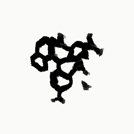 O=[N+]([O-])c1ccc(C(c2ccc([N+](=O)[O-])cc2[N+](=O)[O-])[n+]2cccc3ccccc32)c([N+](=O)[O-])c1.[Br-]